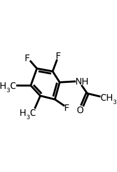 CC(=O)Nc1c(F)c(C)c(C)c(F)c1F